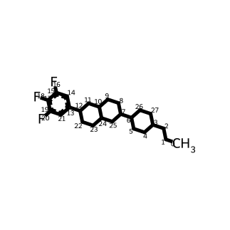 CCCC1CCC(C2CCC3CC(c4cc(F)c(F)c(F)c4)CCC3C2)CC1